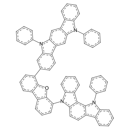 c1ccc(-n2c3ccccc3c3cc4c(cc32)c2ccc(-c3cccc5c3oc3c(-n6c7ccccc7c7c6ccc6c8ccccc8n(-c8ccccc8)c67)cccc35)cc2n4-c2ccccc2)cc1